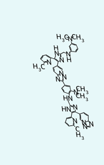 Cc1cccc(-c2[nH]c(CNc3cccc(N(C)C)c3)nc2-c2ccc3nc(-c4ccc(NCc5nc(-c6ccc7ncnn7c6)c(-c6cccc(C)n6)[nH]5)c(N(C)C)c4)nn3c2)n1